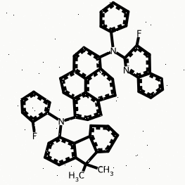 CC1(C)c2ccccc2-c2c(N(c3ccccc3F)c3ccc4ccc5c(N(c6ccccc6)c6nc7ccccc7cc6F)ccc6ccc3c4c65)cccc21